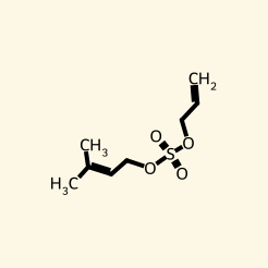 C=CCOS(=O)(=O)OCC=C(C)C